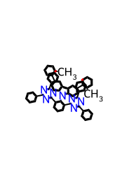 Cc1ccccc1-c1ccc2c(c1)c1cc(-c3ccccc3C)ccc1n2-c1c(-c2nc(-c3ccccc3)nc(-c3ccccc3)n2)cccc1-c1nc(-c2ccccc2)nc(-c2ccccc2)n1